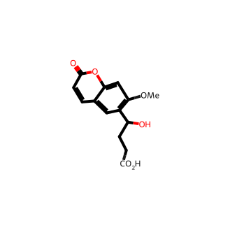 COc1cc2oc(=O)ccc2cc1C(O)CCC(=O)O